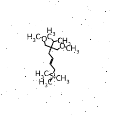 COCC(C/C=C/C[Si](C)(C)C)(COC)C(C)C